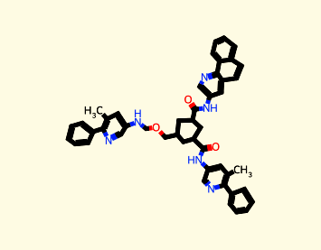 Cc1cc(NCOCC2CC(C(=O)Nc3cnc(-c4ccccc4)c(C)c3)CC(C(=O)Nc3cnc4c(ccc5ccccc54)c3)C2)cnc1-c1ccccc1